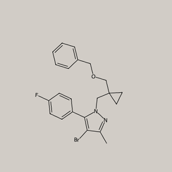 Cc1nn(CC2(COCc3ccccc3)CC2)c(-c2ccc(F)cc2)c1Br